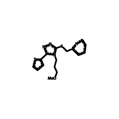 COCCCn1c(SCc2ccccn2)nnc1-c1cccs1